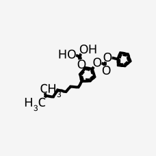 CC(C)CCCCCc1ccc(OC(=O)Oc2ccccc2)cc1.O=C(O)O